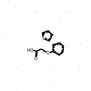 O=C(O)COc1ccccc1.c1ccsc1